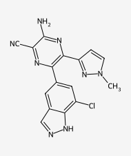 Cn1ccc(-c2nc(N)c(C#N)nc2-c2cc(Cl)c3[nH]ncc3c2)n1